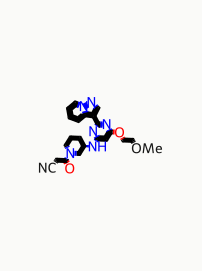 COCCOc1cc(N[C@@H]2CCCN(C(=O)CC#N)C2)nc(-c2cnn3ccccc23)n1